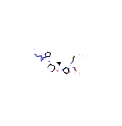 C=C/C(=C\C=C/N)C1(NC(=O)[C@@H]2CNC[C@H](C(=O)N(c3ccc4c(c3)N(CCCOC)C(=O)C(C)(C)O4)C3CC3)C2)CCCC1